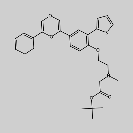 CN(CCOc1ccc(C2=COC=C(C3=CC=CCC3)O2)cc1-c1cccs1)CC(=O)OC(C)(C)C